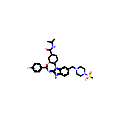 CC(C)NC(=O)C1CCC(n2/c(=N\C(=O)c3ccc(F)cc3)[nH]c3ccc(CN4CCN(S(C)(=O)=O)CC4)cc32)CC1